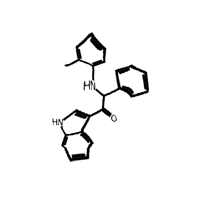 Cc1ccccc1NC(C(=O)c1c[nH]c2ccccc12)c1ccccc1